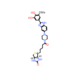 COc1cc(-c2nc3cc(N4CCN(C(=O)CCCC[C@@H]5SC[C@@H]6NC(=O)N[C@@H]65)CC4)ccc3[nH]2)cc(O)c1O